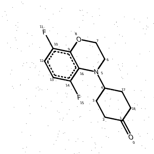 O=C1CCC(N2CCOc3c(F)ccc(F)c32)CC1